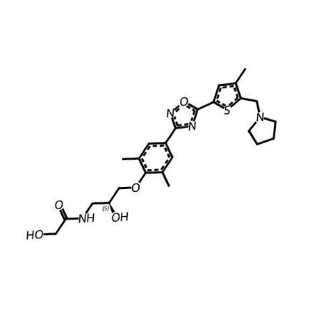 Cc1cc(-c2nc(-c3cc(C)c(OC[C@@H](O)CNC(=O)CO)c(C)c3)no2)sc1CN1CCCC1